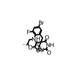 CC(C)[C@@H]1O[C@H](C)CN2c3c(F)cc(Br)cc3CC3(C(=O)NC(=O)NC3=O)[C@@H]12